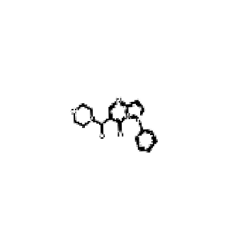 O=C(c1cnc2ccn(-c3ccccc3)n2c1=O)N1CCOCC1